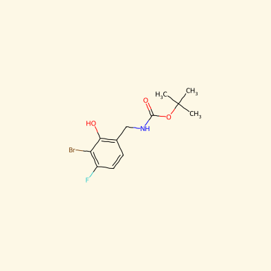 CC(C)(C)OC(=O)NCc1ccc(F)c(Br)c1O